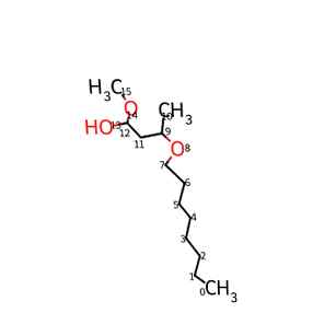 CCCCCCCCOC(C)CC(O)OC